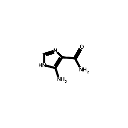 NC(=O)c1n[c][nH]c1N